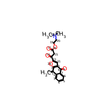 C=C1c2ccccc2C(=O)c2cc(C(=O)CC(=O)OCCN(C)C)oc21